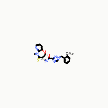 COc1ccccc1Cn1cnc(C(=O)/N=C\[C@H]2COc3cccnc3N(C)C2=S)n1